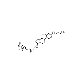 COCCCOc1ccc2c(c1)CCC1C2CC[C@@]2(C)C1CC[C@@H]2OCCN(C)CCOC(C)(F)C(F)(F)F